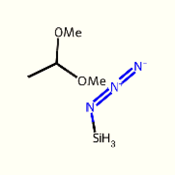 COC(C)OC.[N-]=[N+]=N[SiH3]